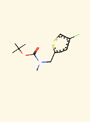 CN(Cc1cc(F)cs1)C(=O)OC(C)(C)C